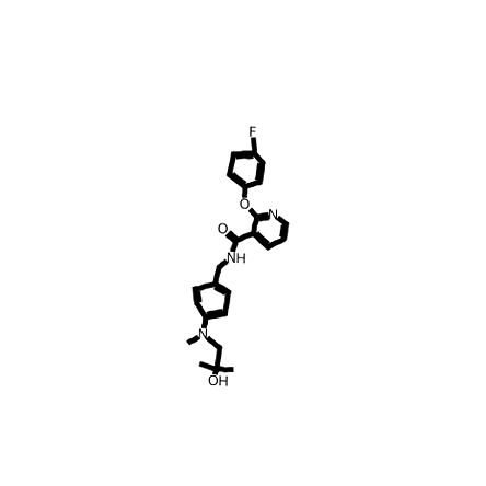 CN(CC(C)(C)O)c1ccc(CNC(=O)c2cccnc2Oc2ccc(F)cc2)cc1